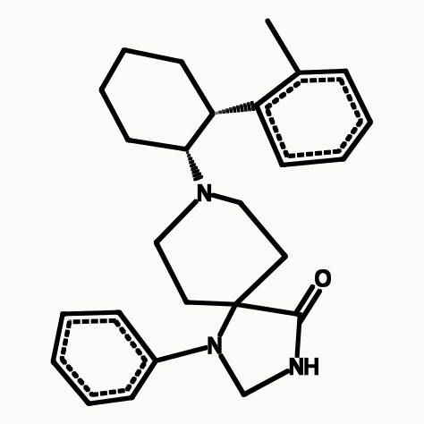 Cc1ccccc1[C@H]1CCCC[C@H]1N1CCC2(CC1)C(=O)NCN2c1ccccc1